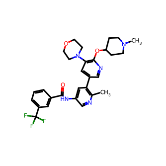 Cc1ncc(NC(=O)c2cccc(C(F)(F)F)c2)cc1-c1cnc(OC2CCN(C)CC2)c(N2CCOCC2)c1